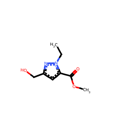 CCn1nc(CO)cc1C(=O)OC